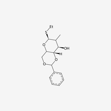 CCS[C@@H]1OC2COC(c3ccccc3)O[C@H]2[C@H](O)C1C